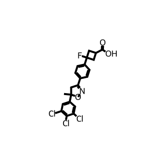 CC1(c2cc(Cl)c(Cl)c(Cl)c2)CC(c2ccc(C3(F)CC(C(=O)O)C3)cc2)=NO1